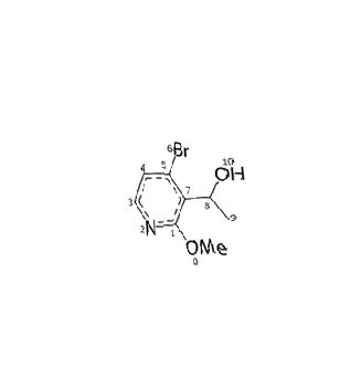 COc1nccc(Br)c1C(C)O